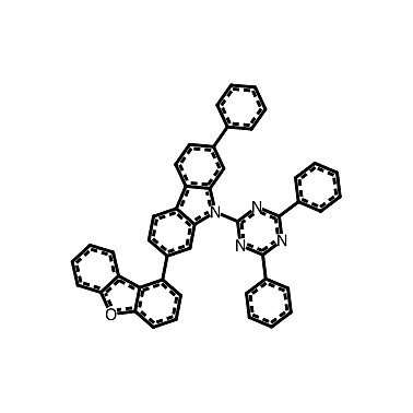 c1ccc(-c2ccc3c4ccc(-c5cccc6oc7ccccc7c56)cc4n(-c4nc(-c5ccccc5)nc(-c5ccccc5)n4)c3c2)cc1